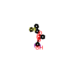 O=C(OCc1cc(I)c(O)c(I)c1)c1ccccc1C(=O)Oc1ccc2c(c1)-c1ccccc1[SH]2c1ccccc1